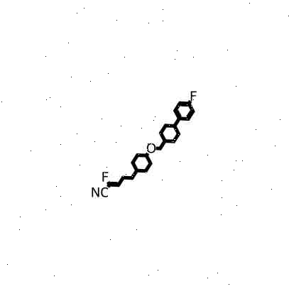 N#CC(F)=CCCC1CCC(OCC2CCC(c3ccc(F)cc3)CC2)CC1